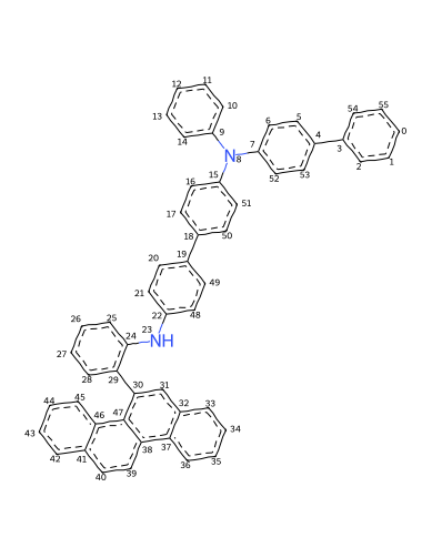 c1ccc(-c2ccc(N(c3ccccc3)c3ccc(-c4ccc(Nc5ccccc5-c5cc6ccccc6c6ccc7ccccc7c56)cc4)cc3)cc2)cc1